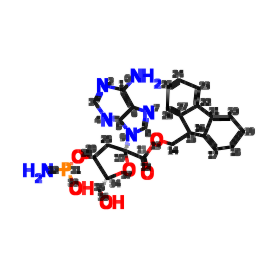 Nc1ncnc2c1ncn2[C@@]1(C(=O)OCC2c3ccccc3-c3ccccc32)C[C@H](OP(N)O)[C@@H](CO)O1